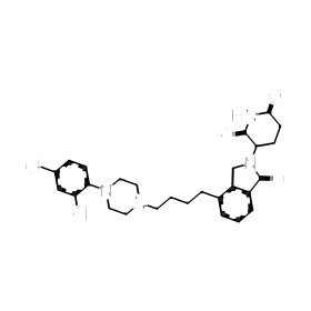 O=C1CCC(N2Cc3c(CCCCN4CCN(c5ccc(Cl)cc5Cl)CC4)cccc3C2=O)C(=O)N1